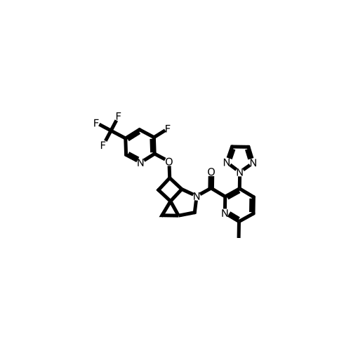 Cc1ccc(-n2nccn2)c(C(=O)N2CC3CC34CC(Oc3ncc(C(F)(F)F)cc3F)C24)n1